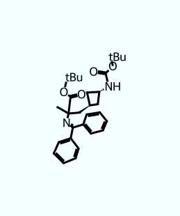 CC(C)(C)OC(=O)N[C@H]1C[C@H](CC(C)(N=C(c2ccccc2)c2ccccc2)C(=O)OC(C)(C)C)C1